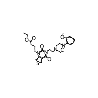 CCOC(=O)CCCn1c(=O)n(CCN2CCN(c3ccccc3OC)CC2)c(=O)c2cscc21